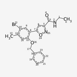 CCNC(=O)c1cc(-c2cc(Br)c(C)cc2OCc2ccccc2)on1